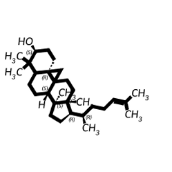 CC(C)=CCC[C@@H](C)[C@H]1CC[C@@]2(C)[C@@H]3CCC4C(C)(C)[C@@H](O)CC[C@@]45CC35CC[C@]12C